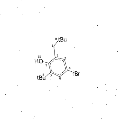 CC(C)(C)Cc1cc(Br)cc(C(C)(C)C)c1O